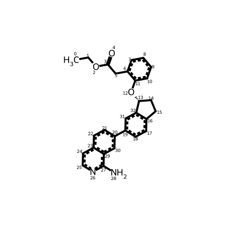 CCOC(=O)Cc1ccccc1O[C@@H]1CCc2ccc(-c3ccc4ccnc(N)c4c3)cc21